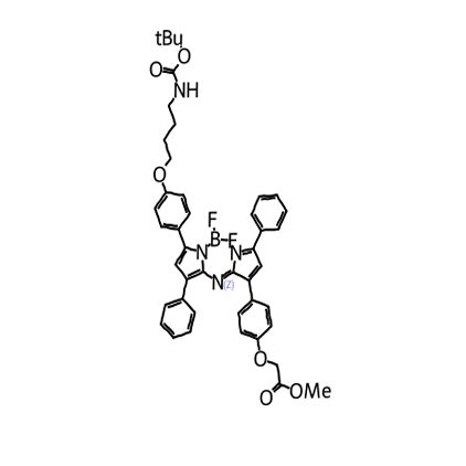 COC(=O)COc1ccc(C2=CC(c3ccccc3)=N/C2=N\c2c(-c3ccccc3)cc(-c3ccc(OCCCCNC(=O)OC(C)(C)C)cc3)n2B(F)F)cc1